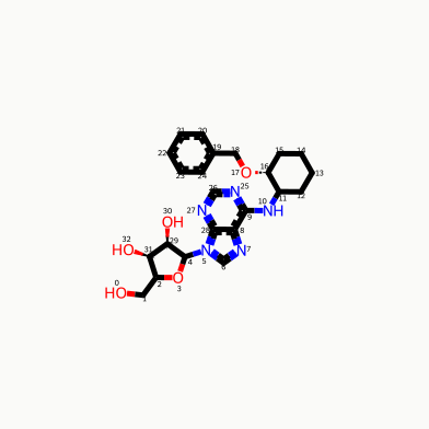 OCC1OC(n2cnc3c(NC4CCCC[C@H]4OCc4ccccc4)ncnc32)[C@H](O)[C@@H]1O